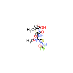 CO/N=C(\C(=O)NC1C(=O)N2C(C(=O)O)=C(C)C(C)S[C@H]12)c1csc(NC(=O)C(F)(F)F)n1